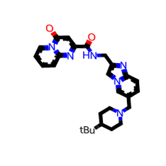 CC(C)(C)C1CCN(Cc2ccc3nc(CNC(=O)c4cc(=O)n5ccccc5n4)cn3c2)CC1